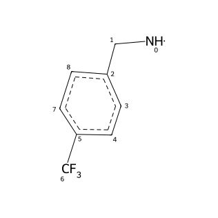 [NH]Cc1ccc(C(F)(F)F)cc1